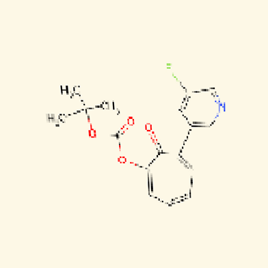 CC(C)(C)OC(=O)Oc1ccccc(-c2cncc(F)c2)c1=O